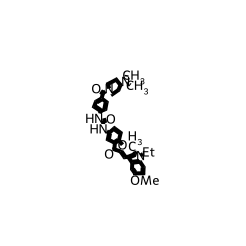 CCn1c(C)c(/C=C2\Oc3ccc(NC(=O)Nc4ccc(C(=O)N5CCC(N(C)C)CC5)cc4)cc3C2=O)c2cc(OC)ccc21